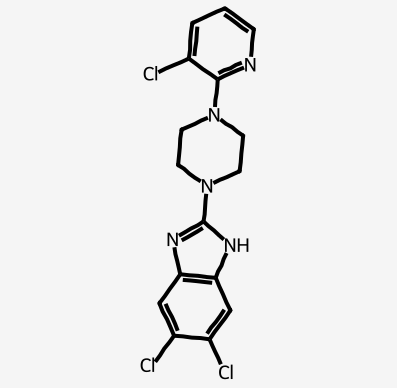 Clc1cc2nc(N3CCN(c4ncccc4Cl)CC3)[nH]c2cc1Cl